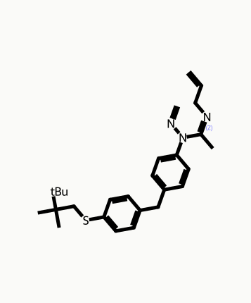 C=CC/N=C(/C)N(N=C)c1ccc(Cc2ccc(SCC(C)(C)C(C)(C)C)cc2)cc1